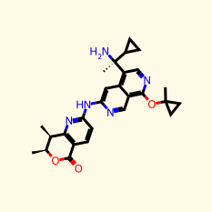 C[C@@H]1OC(=O)c2ccc(Nc3cc4c([C@@](C)(N)C5CC5)cnc(OC5(C)CC5)c4cn3)nc2[C@@H]1C